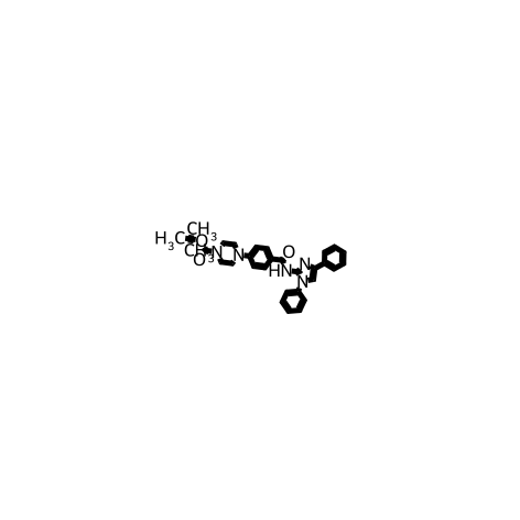 CC(C)(C)OC(=O)N1CCN(c2ccc(C(=O)Nc3nc(-c4ccccc4)cn3-c3ccccc3)cc2)CC1